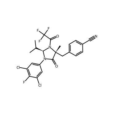 CC(C)[C@@H]1N(c2cc(Cl)c(F)c(Cl)c2)C(=O)[C@@](C)(Cc2ccc(C#N)cc2)N1C(=O)C(F)(F)F